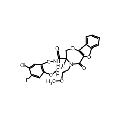 COCCN1C(=O)c2oc3ccccc3c2OCC1(C)C(=O)NCc1cc(Cl)c(F)cc1OC